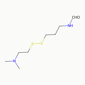 CN(C)CCSSCCCNC=O